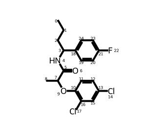 CCCC(NC(=O)C(C)Oc1ccc(Cl)cc1Cl)c1ccc(F)cc1